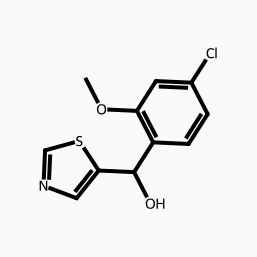 COc1cc(Cl)ccc1C(O)c1cncs1